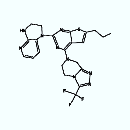 CCCc1cc2c(N3CCn4c(nnc4C(F)(F)F)C3)nc(N3CCNc4ncccc43)nc2s1